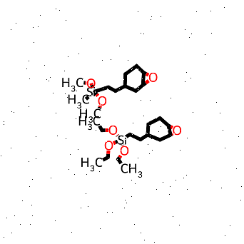 CCO[Si](CCC1CCC2OC2C1)(OCC)OCC.CO[Si](C)(CCC1CCC2OC2C1)OC